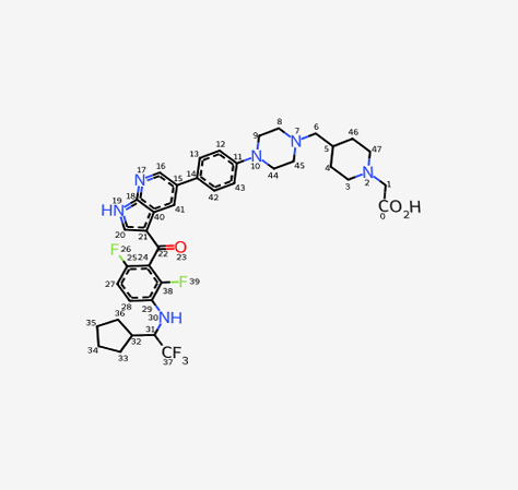 O=C(O)CN1CCC(CN2CCN(c3ccc(-c4cnc5[nH]cc(C(=O)c6c(F)ccc(NC(C7CCCC7)C(F)(F)F)c6F)c5c4)cc3)CC2)CC1